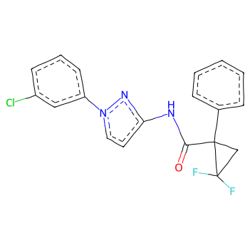 O=C(Nc1ccn(-c2cccc(Cl)c2)n1)C1(c2ccccc2)CC1(F)F